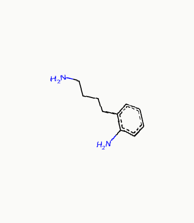 NCCCCc1ccccc1N